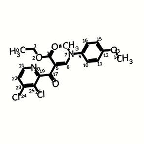 CCOC(=O)C(=CN(C)c1ccc(OC)cc1)C(=O)c1nccc(Cl)c1Cl